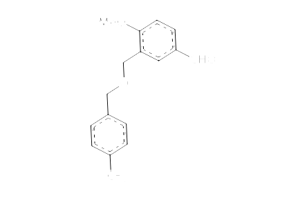 COc1ccc(C=O)cc1COCc1ccc(C(F)(F)F)cc1